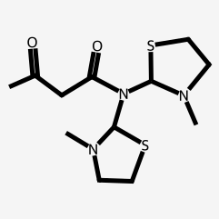 CC(=O)CC(=O)N(C1SCCN1C)C1SCCN1C